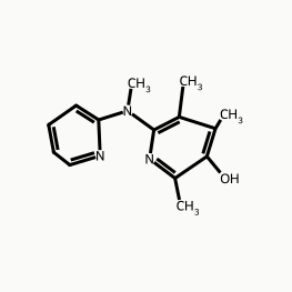 Cc1nc(N(C)c2ccccn2)c(C)c(C)c1O